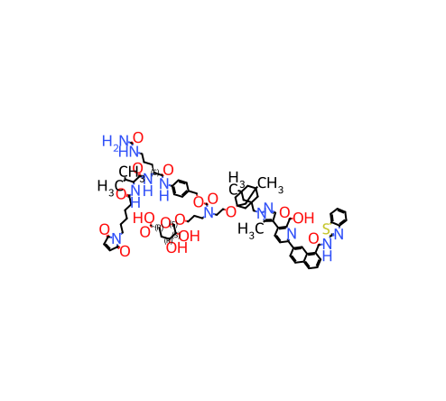 Cc1c(-c2ccc(-c3ccc4cccc(C(=O)Nc5nc6ccccc6s5)c4c3)nc2C(=O)O)cnn1CC12CC3(C)CC(C)(C1)CC(OCCN(CCCO[C@H]1O[C@@H](C(=O)O)C[C@@H](O)[C@@H]1O)C(=O)OCc1ccc(NC(=O)[C@H](CCCNC(N)=O)NC(=O)C(NC(=O)CCCCCN4C(=O)C=CC4=O)C(C)C)cc1)(C3)C2